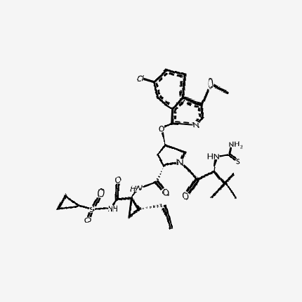 C=C[C@@H]1C[C@]1(NC(=O)[C@@H]1C[C@@H](Oc2ncc(OC)c3ccc(Cl)cc23)CN1C(=O)[C@@H](NC(N)=S)C(C)(C)C)C(=O)NS(=O)(=O)C1CC1